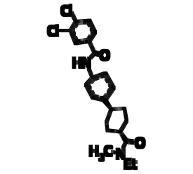 CCN(C)C(=O)[C@H]1CC[C@@H](c2ccc(NC(=O)c3ccc(Cl)c(Cl)c3)cc2)CC1